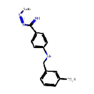 CN/N=N\C(=N)c1ccc(NCc2cccc(C(=O)O)c2)cc1